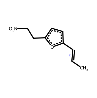 C/C=C/c1ccc(CC[N+](=O)[O-])o1